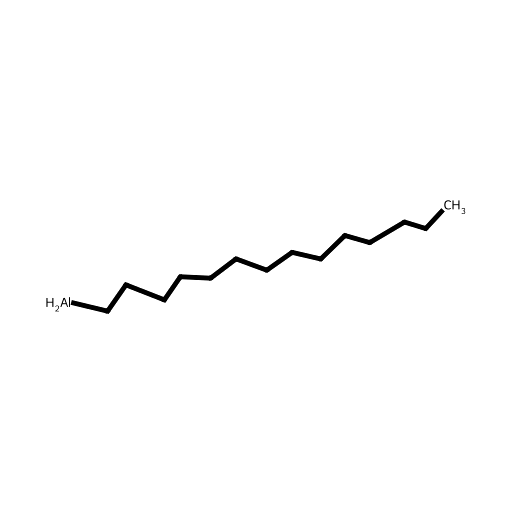 CCCCCCCCCCCCC[CH2][AlH2]